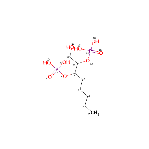 CCCCCC(OP(=O)(O)O)C(CO)OP(=O)(O)O